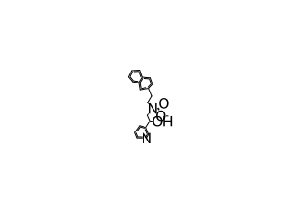 COC(=O)N(CCc1ccc2ccccc2c1)CC(O)c1cccnc1